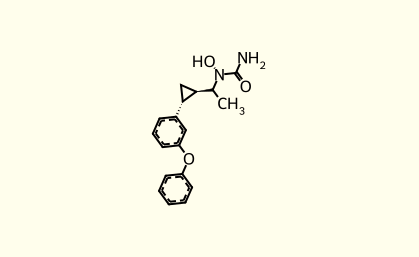 CC([C@@H]1C[C@H]1c1cccc(Oc2ccccc2)c1)N(O)C(N)=O